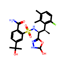 Cc1ccc(F)c([C@@H](C)[C@H](NS(=O)(=O)c2cc(C(C)(C)O)ccc2C(N)=O)C2=NNC(O)O2)c1C